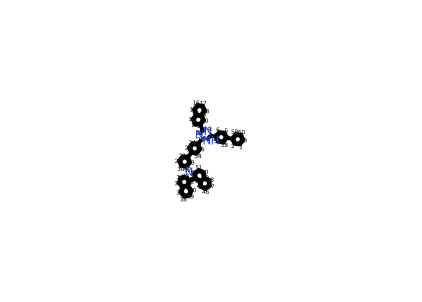 c1ccc(-c2ccc(C3N=C(c4ccc5ccccc5c4)N=C(c4ccc(-c5cccc(-n6c7ccc8ccccc8c7c7c8ccccc8ccc76)c5)cc4)N3)cc2)cc1